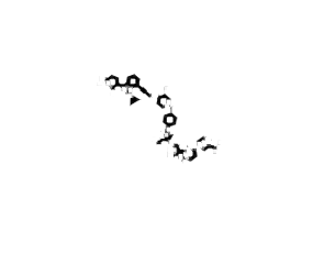 O=C1CCC(c2nn(C3CC3)c3c(C#CCO[C@H]4CCN(C[C@H]5CC[C@H](n6cc(NC(=O)c7cnn8ccc(N9CCOC(C(F)F)C9)nc78)c(C(F)F)n6)CC5)C[C@H]4F)cccc23)C(=O)N1